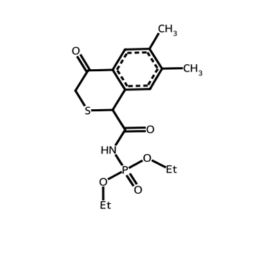 CCOP(=O)(NC(=O)C1SCC(=O)c2cc(C)c(C)cc21)OCC